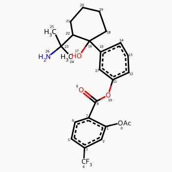 CC(=O)Oc1cc(C(F)(F)F)ccc1C(=O)Oc1cccc(C2(O)CCCCC2C(C)(C)N)c1